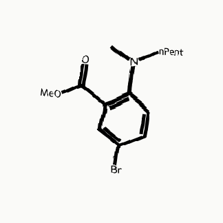 CCCCCN(C)c1ccc(Br)cc1C(=O)OC